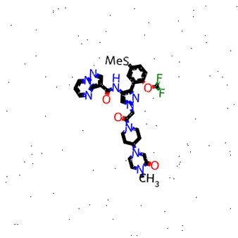 CSc1ccc(OC(F)F)c(-c2nn(CC(=O)N3CCC(N4CCN(C)C(=O)C4)CC3)cc2NC(=O)c2cnn3cccnc23)c1